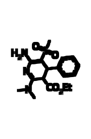 CCOC(=O)C1C(N(C)C)=NC(N)=C(S(C)(=O)=O)C1c1ccccc1